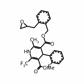 COC(=O)C1=C(C(F)(F)F)NC(C)=C(C(=O)OCc2ccccc2CC2CO2)C1c1ccccc1F